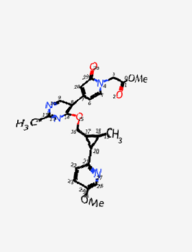 COC(=O)Cn1ccc(-c2cnc(C)nc2OCC2C(C)C2c2ccc(OC)cn2)cc1=O